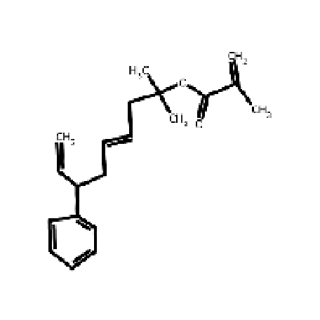 C=CC(CC=CCC(C)(C)OC(=O)C(=C)C)c1ccccc1